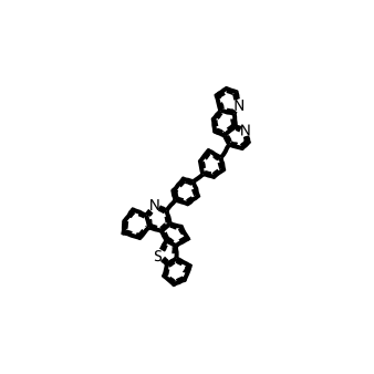 c1cnc2c(c1)ccc1c(-c3ccc(-c4ccc(-c5nc6ccccc6c6c5ccc5c7ccccc7sc56)cc4)cc3)ccnc12